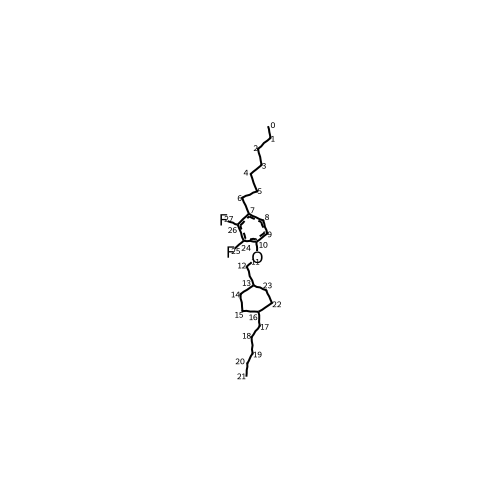 CCCCCCCc1ccc(OCC2CCC(CCCCC)CC2)c(F)c1F